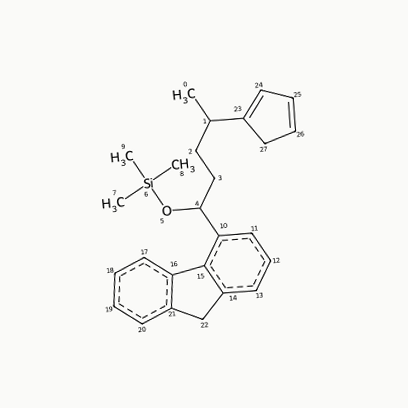 CC(CCC(O[Si](C)(C)C)c1cccc2c1-c1ccccc1C2)C1=CC=CC1